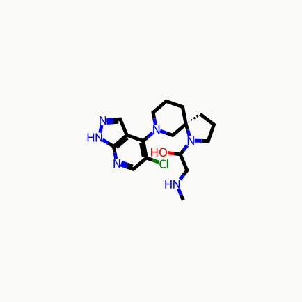 CNCC(O)N1CCC[C@]12CCCN(c1c(Cl)cnc3[nH]ncc13)C2